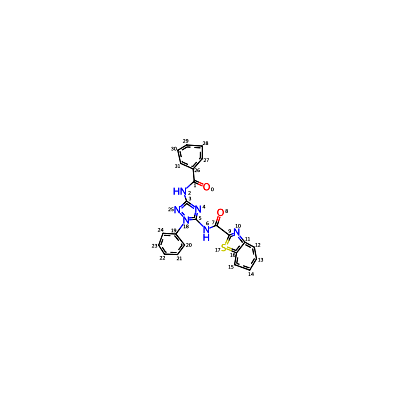 O=C(Nc1nc(NC(=O)c2nc3ccccc3s2)n(-c2ccccc2)n1)c1ccccc1